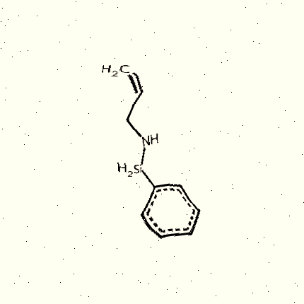 C=CCN[SiH2]c1ccccc1